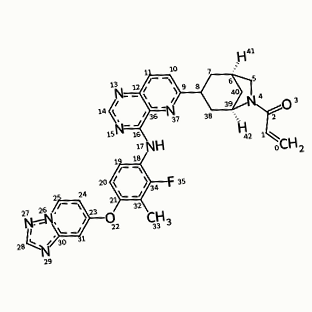 C=CC(=O)N1C[C@@H]2CC(c3ccc4ncnc(Nc5ccc(Oc6ccn7ncnc7c6)c(C)c5F)c4n3)C[C@H]1C2